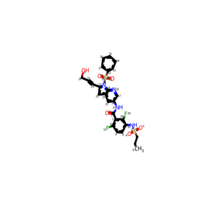 CCCS(=O)(=O)Nc1ccc(F)c(C(=O)Nc2cnc3c(c2)cc(C#CCO)n3S(=O)(=O)c2ccccc2)c1F